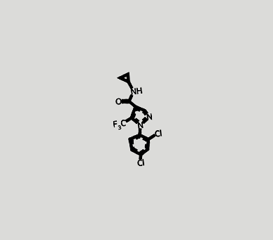 O=C(NC1CC1)c1cnn(-c2ccc(Cl)cc2Cl)c1C(F)(F)F